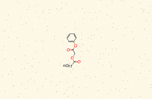 CCCCCCCCC(=O)OCC(=O)Oc1ccccc1